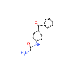 NCC(=O)Nc1ccc(C(=O)c2ccccc2)cc1